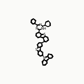 C1=CCC(C2N=C(c3ccccc3)N=C(c3cccc4c3sc3cccc(-c5ccc6sc7ccc(-n8c9ccccc9c9ccccc98)cc7c6c5)c34)N2)C=C1